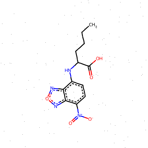 CCCCC(Nc1ccc([N+](=O)[O-])c2nonc12)C(=O)O